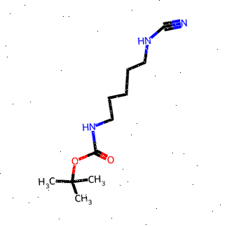 CC(C)(C)OC(=O)NCCCCCNC#N